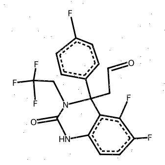 O=CCC1(c2ccc(F)cc2)c2c(ccc(F)c2F)NC(=O)N1CC(F)(F)F